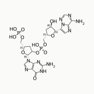 Nc1nc2c(ncn2[C@@H]2O[C@H](COP(=O)(O)O)CC2OP(=O)(O)OC[C@@H]2C[C@@H](O)[C@H](c3cnc4c(N)ncnn34)O2)c(=O)[nH]1